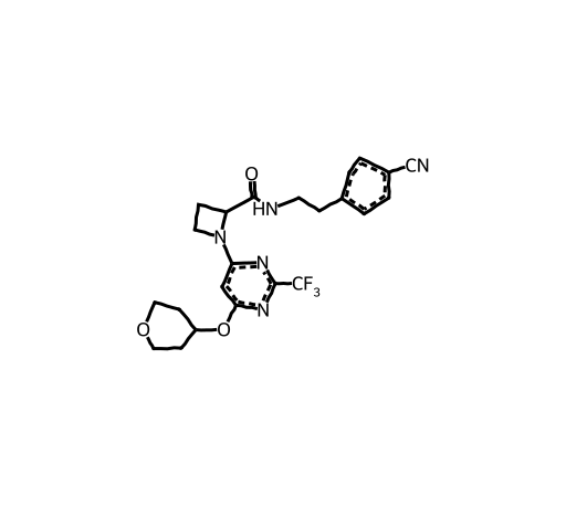 N#Cc1ccc(CCNC(=O)C2CCN2c2cc(OC3CCOCC3)nc(C(F)(F)F)n2)cc1